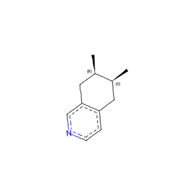 C[C@@H]1Cc2cnccc2C[C@@H]1C